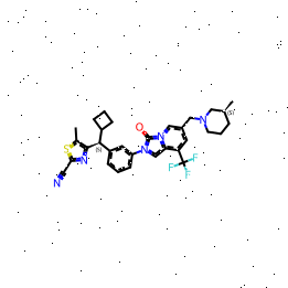 Cc1sc(C#N)nc1[C@H](c1cccc(-n2cc3c(C(F)(F)F)cc(CN4CCC[C@H](C)C4)cn3c2=O)c1)C1CCC1